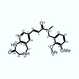 CCCOc1c(CN(C)C(=O)C=Cc2cnc3c(c2)CNCC(=O)N3)cccc1OC